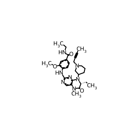 CC#CCN1CCCC(N2c3nc(Nc4ccc(C(=O)NCC)cc4OC)ncc3N(C)C(=O)[C@H]2CC)C1